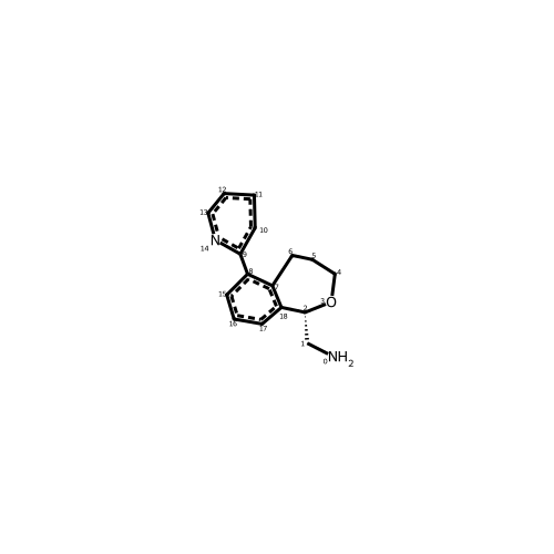 NC[C@H]1OCCCc2c(-c3ccccn3)cccc21